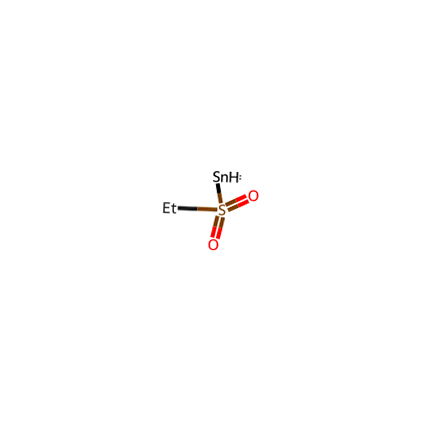 CC[S](=O)(=O)[SnH]